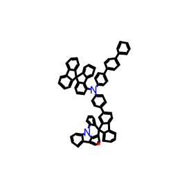 c1ccc(-c2ccc(-c3ccc(N(c4ccc(-c5ccc6c(c5)C5(c7ccccc7-6)c6ccccc6-n6c7ccccc7c7cccc5c76)cc4)c4cccc5c4-c4ccccc4C54c5ccccc5-c5ccccc54)cc3)cc2)cc1